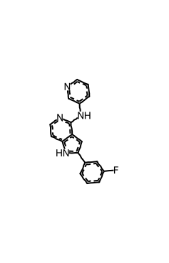 Fc1cccc(-c2cc3c(Nc4cccnc4)nccc3[nH]2)c1